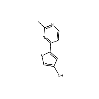 Cc1nccc(-c2cc(O)cs2)n1